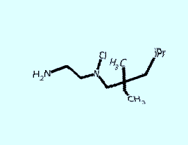 CC(C)CC(C)(C)CN(Cl)CCN